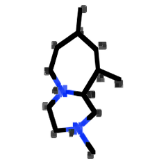 CC1CCN2CCN(C)CC2C(C)C1